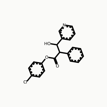 O=C(Oc1ccc(Cl)cc1)C(c1ccccc1)C(O)c1cccnc1